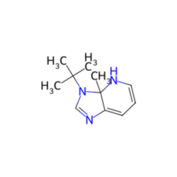 CC(C)(C)N1C=NC2=CC=CNC21C